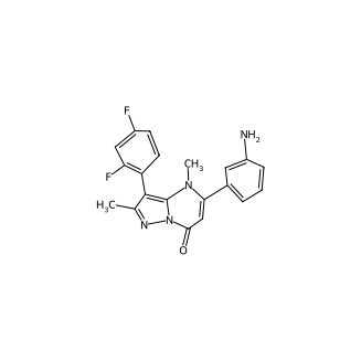 Cc1nn2c(=O)cc(-c3cccc(N)c3)n(C)c2c1-c1ccc(F)cc1F